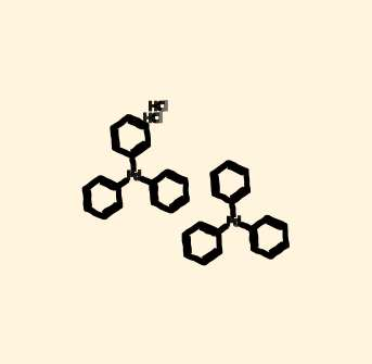 Cl.Cl.c1cc[c]([Pd]([c]2ccccc2)[c]2ccccc2)cc1.c1cc[c]([Pd]([c]2ccccc2)[c]2ccccc2)cc1